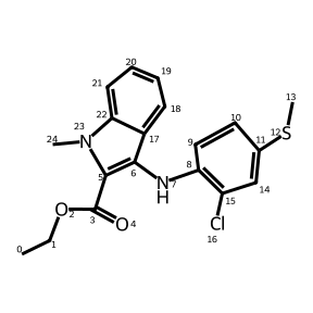 CCOC(=O)c1c(Nc2ccc(SC)cc2Cl)c2ccccc2n1C